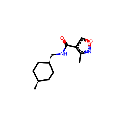 Cc1nocc1C(=O)NC[C@H]1CC[C@H](C)CC1